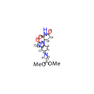 COC(OC)C1CN(c2ccc3c(c2)n(C)c(=O)n3C2CCC(=O)NC2=O)C1